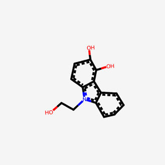 OCCn1c2ccccc2c2c(O)c(O)ccc21